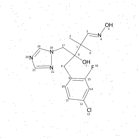 CC(C)(/C=N/O)C(O)(Cc1ccc(Cl)cc1F)Cn1cncn1